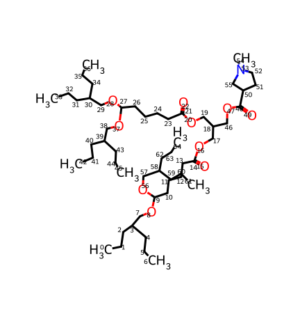 CCCC(CCC)COC(CCCCC(=O)OCC(COC(=O)CCCCC(OCC(CCC)CCC)OCC(CCC)CCC)COC(=O)C1CCN(C)C1)OCC(CCC)CCC